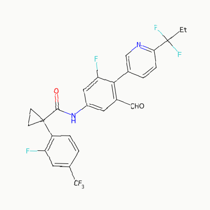 CCC(F)(F)c1ccc(-c2c(F)cc(NC(=O)C3(c4ccc(C(F)(F)F)cc4F)CC3)cc2C=O)cn1